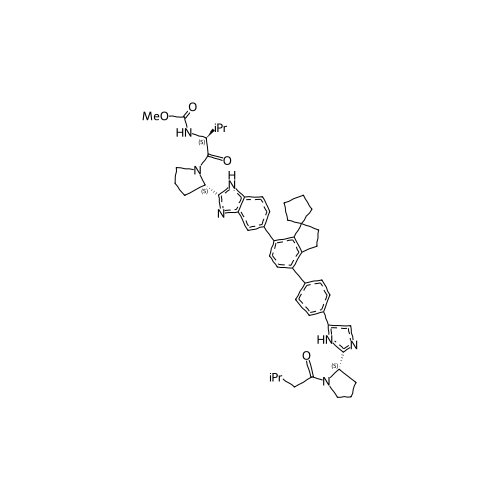 COC(=O)N[C@H](C(=O)N1CCC[C@H]1c1nc2cc(-c3ccc(-c4ccc(-c5cnc([C@@H]6CCCN6C(=O)CC(C)C)[nH]5)cc4)c4c3C3(CCCC3)CC4)ccc2[nH]1)C(C)C